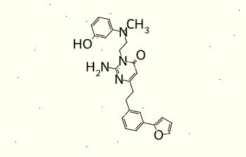 CN(CCn1c(N)nc(CCc2cccc(-c3ccco3)c2)cc1=O)c1cccc(O)c1